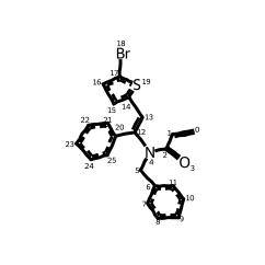 C=CC(=O)N(Cc1ccccc1)C(=Cc1ccc(Br)s1)c1ccccc1